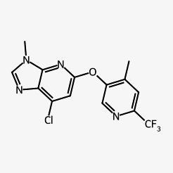 Cc1cc(C(F)(F)F)ncc1Oc1cc(Cl)c2ncn(C)c2n1